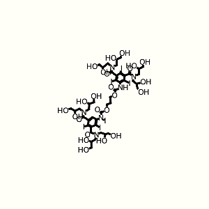 O=C(Nc1c(I)c(C(=O)N(CC(O)CO)CC(O)CO)c(I)c(C(=O)N(CC(O)CO)CC(O)CO)c1I)OCCCOC(=O)N(I)c1cc(C(=O)N(CC(O)CO)CC(O)CO)c(I)c(C(=O)N(CC(O)CO)CC(O)CO)c1I